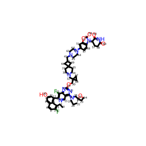 CCc1c(F)ccc2cc(O)cc(-c3ncc4c(N5CCC[C@]6(CCO6)C5)nc(OCC5(CN6CCC7(CC6)CC(CN6CCN(c8ccc9c(c8)oc(=O)n9C8CCC(=O)NC8=O)CC6)C7)CC5)nc4c3F)c12